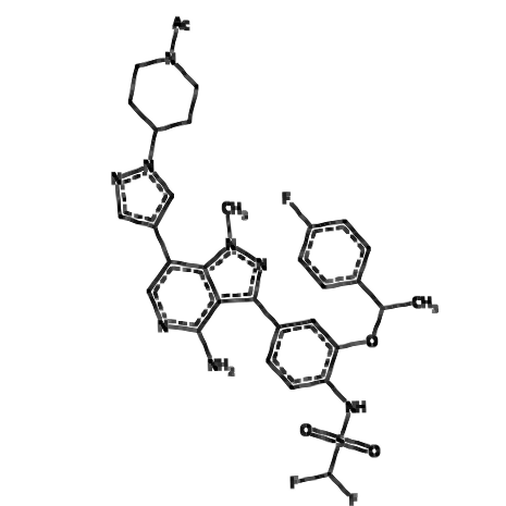 CC(=O)N1CCC(n2cc(-c3cnc(N)c4c(-c5ccc(NS(=O)(=O)C(F)F)c(OC(C)c6ccc(F)cc6)c5)nn(C)c34)cn2)CC1